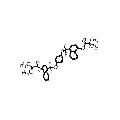 C=C(C)C(=O)Oc1ccc(C(F)(F)Oc2ccc(OC(F)(F)c3ccc(OC(=O)C(=C)C)c4ccccc34)cc2)c2ccccc12